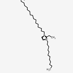 CCCCCCCCCCCCCCCCCn1cc[n+](CCCCCCCCCCCC)c1CC